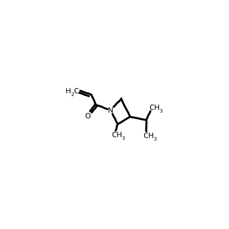 C=CC(=O)N1CC(C(C)C)C1C